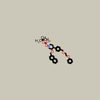 CC(C)(C)OC(=O)ON1CCC(c2ccc(COCCOc3ccccc3)cc2)C(OCc2ccc3ccccc3c2)C1